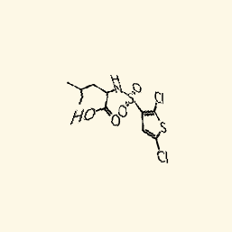 CC(C)CC(NS(=O)(=O)c1cc(Cl)sc1Cl)C(=O)O